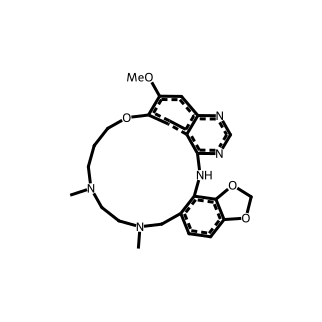 COc1cc2ncnc3c2cc1OCCCN(C)CCN(C)Cc1ccc2c(c1N3)OCO2